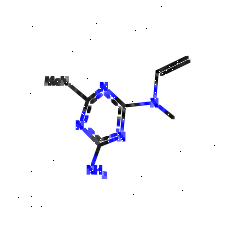 C=CN(C)c1nc(N)nc(NC)n1